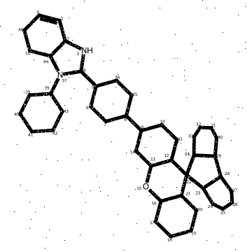 C1=CC2NC(C3CCC(C4CCC5C(C4)OC4CCCCC4C54C5CCCCC5C5CCCCC54)CC3)N(C3CCCCC3)C2CC1